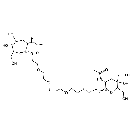 CC(=O)NC1CC(O)[C@@H](O)C(CO)O[C@H]1OCCOCCOCC(C)COCCOCCO[C@@H]1OC(CO)C(O)(CO)CC1NC(C)=O